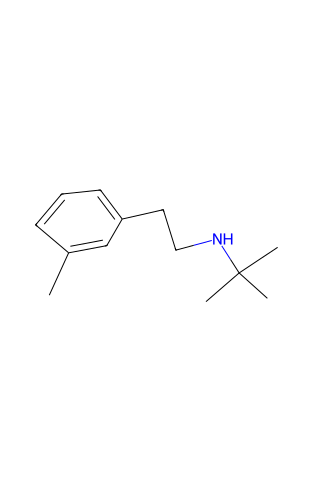 Cc1cccc(CCNC(C)(C)C)c1